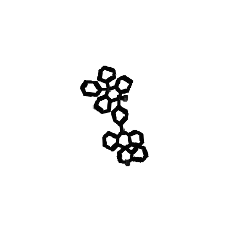 O=P1(c2ccc(N3c4ccccc4C4(c5ccccc5Oc5ccccc54)c4ccccc43)cc2)c2ccccc2S(c2ccccc2)(c2ccccc2)c2ccccc21